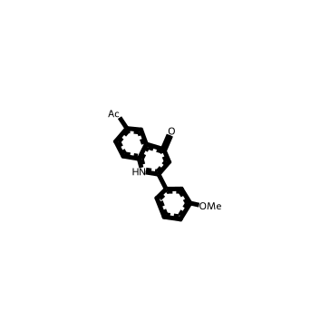 COc1cccc(-c2cc(=O)c3cc(C(C)=O)ccc3[nH]2)c1